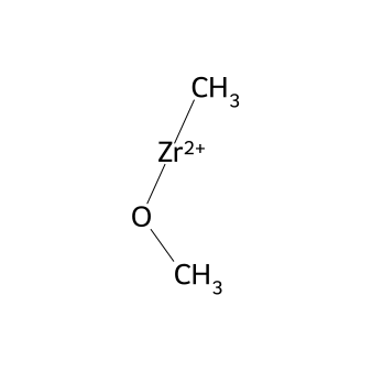 C[O][Zr+2][CH3]